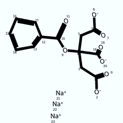 O=C([O-])CC(CC(=O)[O-])(OC(=O)c1ccccc1)C(=O)[O-].[Na+].[Na+].[Na+]